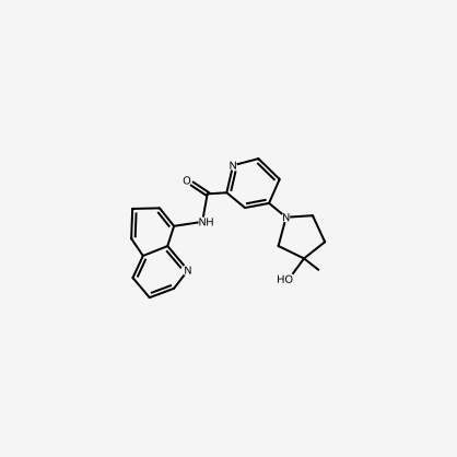 CC1(O)CCN(c2ccnc(C(=O)Nc3cccc4cccnc34)c2)C1